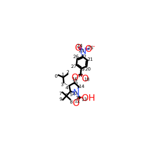 CC(C)C[C@H]1C(C(C)(C)C)N(C(=O)O)C[C@H]1OC(=O)c1ccc([N+](=O)[O-])cc1